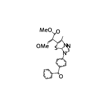 CO/C=C(/C(=O)OC)C1=C(C)N2N=CN(c3ccc(C(=O)c4ccccc4)cc3)C2S1